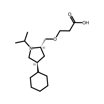 CC(C)N1C[C@H](C2CCCCC2)C[C@H]1COCCC(=O)O